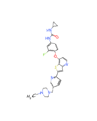 CN1CCN(Cc2ccc(-c3cc4nccc(Oc5ccc(NC(=O)NC6CC6)cc5F)c4s3)nc2)CC1